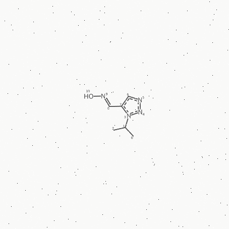 CC(C)n1nncc1C=NO